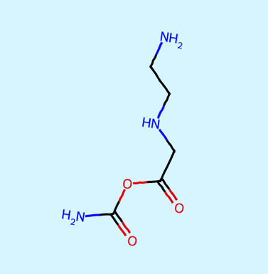 NCCNCC(=O)OC(N)=O